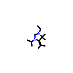 CCN1CN(C(C)C)C(=C(C)C)C1(C)C